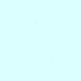 C#CC(=N)c1ccc(OCCOC)cc1N